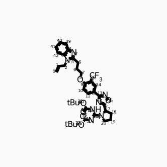 C=CCn1c(CCCOc2ccc(-c3noc(C4CCCN4/C(=N/C(=O)OC(C)(C)C)NC(=O)OC(C)(C)C)n3)cc2C(F)(F)F)nc2ccccc21